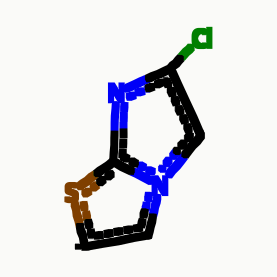 Clc1cn2c[c]sc2n1